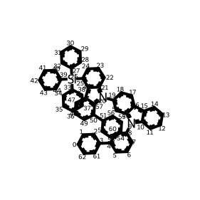 c1ccc(-c2cccc(-n3c4ccccc4c4ccc(-n5c6cccc([Si](c7ccccc7)(c7ccccc7)c7ccccc7)c6c6cccc(-c7ccccc7)c65)cc43)c2)cc1